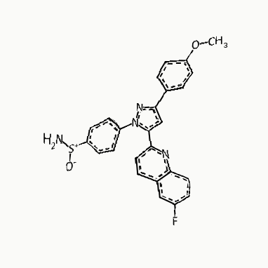 COc1ccc(-c2cc(-c3ccc4cc(F)ccc4n3)n(-c3ccc([S+](N)[O-])cc3)n2)cc1